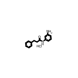 Cl.Nc1cccc(NC(=O)CCc2ccccc2)c1